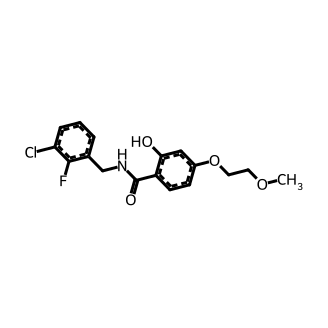 COCCOc1ccc(C(=O)NCc2cccc(Cl)c2F)c(O)c1